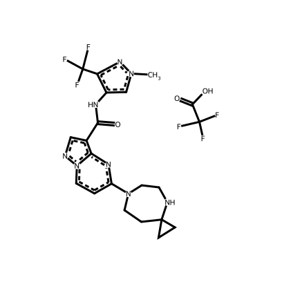 Cn1cc(NC(=O)c2cnn3ccc(N4CCNC5(CC4)CC5)nc23)c(C(F)(F)F)n1.O=C(O)C(F)(F)F